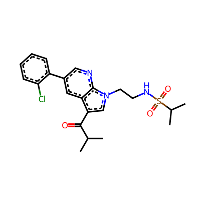 CC(C)C(=O)c1cn(CCNS(=O)(=O)C(C)C)c2ncc(-c3ccccc3Cl)cc12